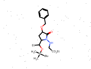 CCOC(=O)CNN1C(=O)C(OCc2ccccc2)CC1C(CC)O[Si](C)(C)C(C)(C)C